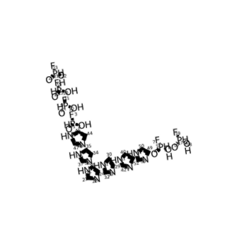 O=[PH](O)F.O=[PH](O)F.O=[PH](O)F.O=[PH](O)F.O=[PH](O)F.O=[PH](O)F.c1c[nH]cn1.c1c[nH]cn1.c1c[nH]cn1.c1c[nH]cn1.c1c[nH]cn1.c1c[nH]cn1